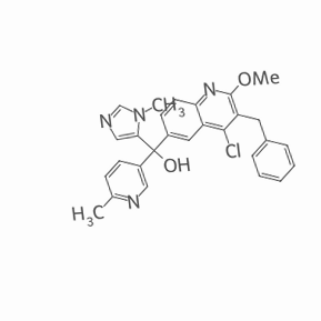 COc1nc2ccc(C(O)(c3ccc(C)nc3)c3cncn3C)cc2c(Cl)c1Cc1ccccc1